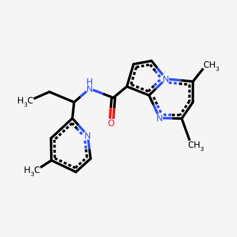 CCC(NC(=O)c1ccn2c(C)cc(C)nc12)c1cc(C)ccn1